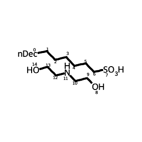 CCCCCCCCCCCCCCCCS(=O)(=O)O.OCCNCCO